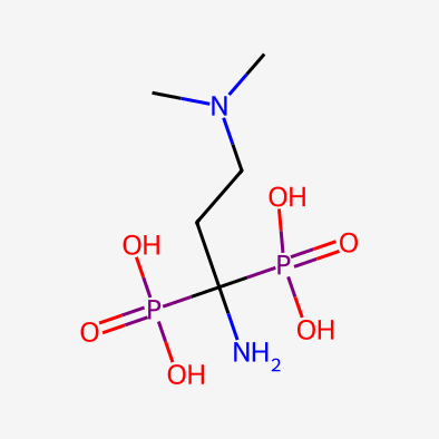 CN(C)CCC(N)(P(=O)(O)O)P(=O)(O)O